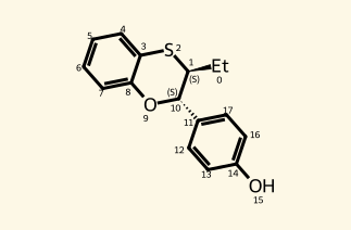 CC[C@@H]1Sc2ccccc2O[C@H]1c1ccc(O)cc1